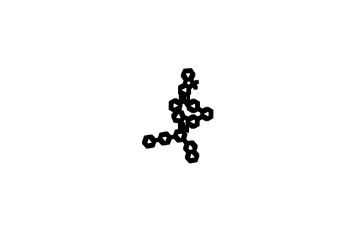 CC1(C)c2ccccc2-c2ccc(N(c3ccccc3)c3ccc(-c4ccccc4-c4ccc5c(c4)c4ccccc4n5-c4cc(-c5ccc(-c6ccccc6)cc5)cc(-c5ccc6ccccc6c5)c4)cc3)cc21